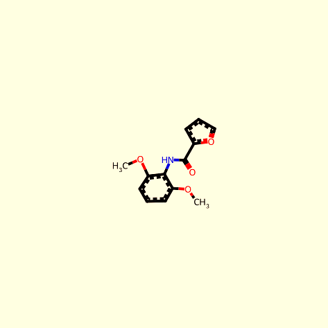 COc1cccc(OC)c1NC(=O)c1ccco1